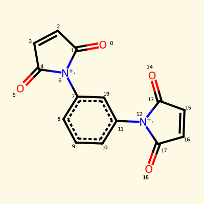 O=C1C=CC(=O)[N+]1c1cccc([N+]2C(=O)C=CC2=O)c1